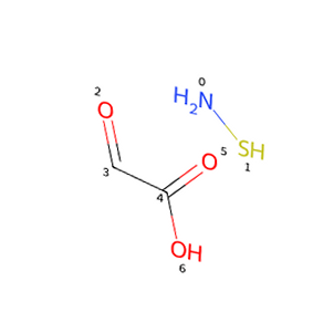 NS.O=CC(=O)O